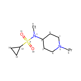 CCN(C1CCN(C(C)C)CC1)S(=O)(=O)C1CC1